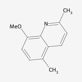 COc1ccc(C)c2ccc(C)nc12